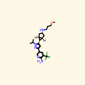 COCCCN[C@H]1C[C@@H]2[C@H](C1)[C@H]2c1cc(-c2cnc(N)c(C(F)(F)F)c2)nn1C(C)C